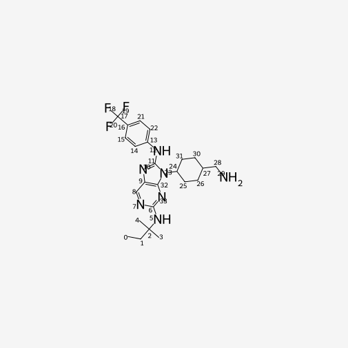 CCC(C)(C)Nc1ncc2nc(Nc3ccc(C(F)(F)F)cc3)n(C3CCC(CN)CC3)c2n1